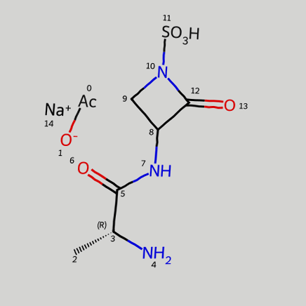 CC(=O)[O-].C[C@@H](N)C(=O)NC1CN(S(=O)(=O)O)C1=O.[Na+]